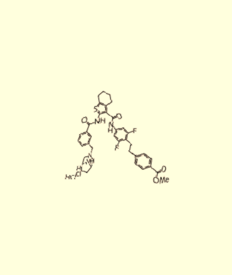 COC(=O)c1ccc(CCc2c(F)cc(NC(=O)c3c(NC(=O)c4cccc(CN5CC6CCC(C5)N6)c4)sc4c3CCCC4)cc2F)cc1.Cl.Cl